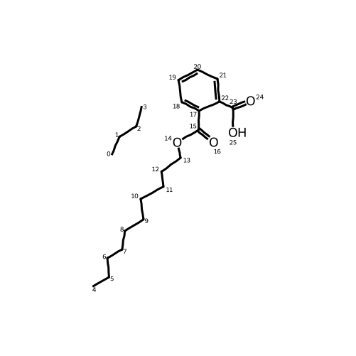 CCCC.CCCCCCCCCCOC(=O)c1ccccc1C(=O)O